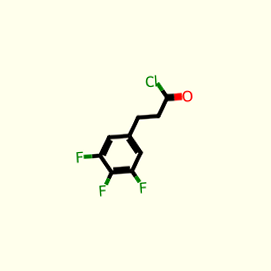 O=C(Cl)CCc1cc(F)c(F)c(F)c1